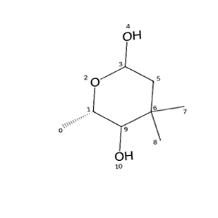 C[C@@H]1OC(O)CC(C)(C)C1O